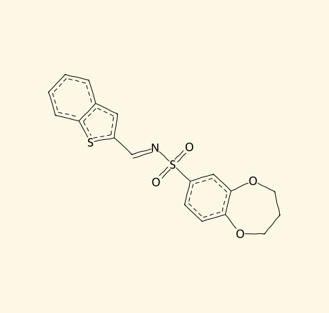 O=S(=O)(/N=C/c1cc2ccccc2s1)c1ccc2c(c1)OCCCO2